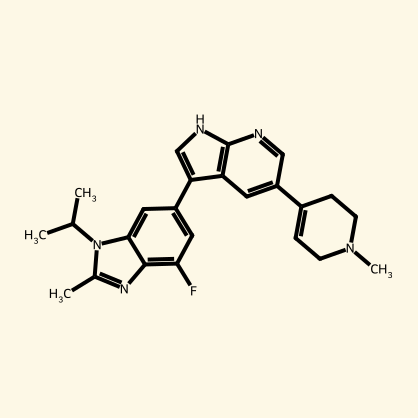 Cc1nc2c(F)cc(-c3c[nH]c4ncc(C5=CCN(C)CC5)cc34)cc2n1C(C)C